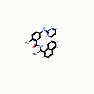 Cc1ccc(Nc2ncccn2)cc1C(=O)N[C@H](C)c1cccc2ccccc12